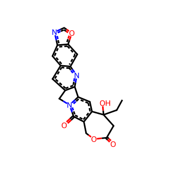 CCC1(O)CC(=O)OCc2c1cc1n(c2=O)Cc2cc3cc4ncoc4cc3nc2-1